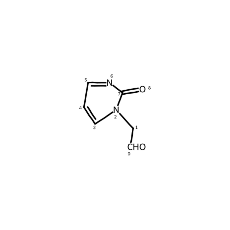 O=CCn1cccnc1=O